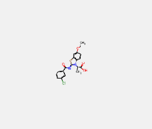 CCOc1ccc2c(c1)sc(=NC(=O)c1cccc(Cl)c1)n2C(C)C(=O)O